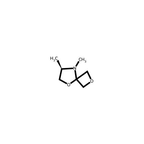 C[C@@H]1COC2(COC2)N1C